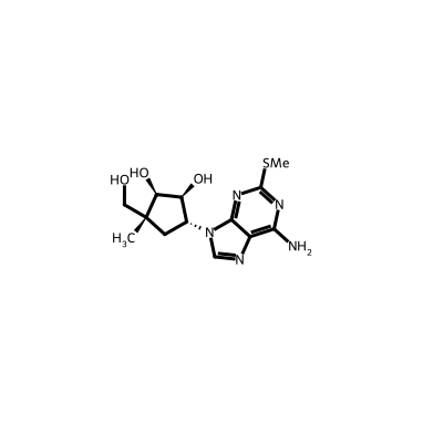 CSc1nc(N)c2ncn([C@@H]3C[C@](C)(CO)[C@@H](O)[C@H]3O)c2n1